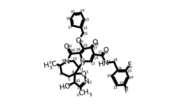 CC1=NOC2(CCC(C)N3CC2n2cc(C(=O)NCc4ccc(F)cc4F)c(=O)c(OCc4ccccc4)c2C3=O)C1O